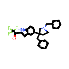 O=C(c1cc2cc(C3(Cc4ccccc4)CCN(Cc4ccccc4)C3)ccc2[nH]1)C(F)(F)F